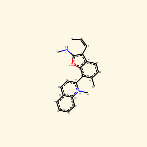 C/C=C\c1c(NC)oc2c(-c3ccc4ccccc4[n+]3C)c(C)ccc12